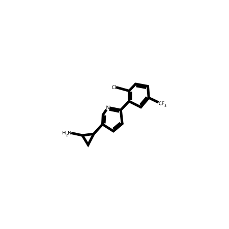 NC1CC1c1ccc(-c2cc(C(F)(F)F)ccc2Cl)nc1